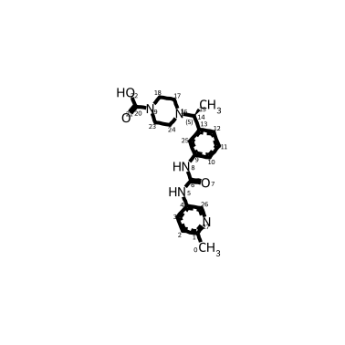 Cc1ccc(NC(=O)Nc2cccc([C@H](C)N3CCN(C(=O)O)CC3)c2)cn1